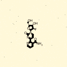 NC(=O)c1cccnc1-c1ccn([C@H]2O[C@H](CO)[C@@H](O)[C@H]2F)c(=O)n1